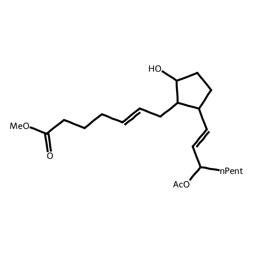 CCCCCC(/C=C/C1CCC(O)C1C/C=C/CCCC(=O)OC)OC(C)=O